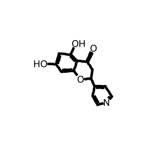 O=C1CC(c2ccncc2)Oc2cc(O)cc(O)c21